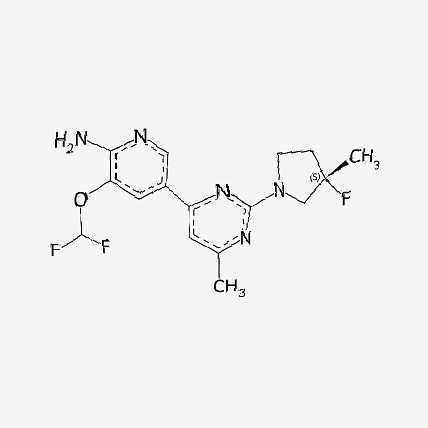 Cc1cc(-c2cnc(N)c(OC(F)F)c2)nc(N2CC[C@](C)(F)C2)n1